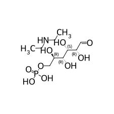 CCNCC.O=C[C@H](O)[C@@H](O)[C@H](O)[C@H](O)COP(=O)(O)O